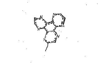 Cc1cnc2c3nccnc3c3nccnc3c2n1